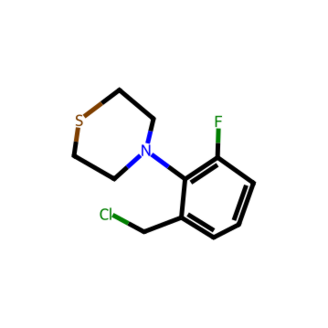 Fc1cccc(CCl)c1N1CCSCC1